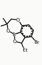 CCC1OB2OC(C)(C)COc3ccc(Br)c1c32